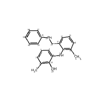 Cc1cccc(Pc2c(C)cccc2CPc2ccccc2)c1O